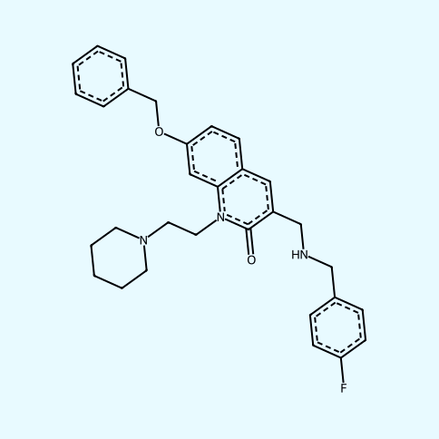 O=c1c(CNCc2ccc(F)cc2)cc2ccc(OCc3ccccc3)cc2n1CCN1CCCCC1